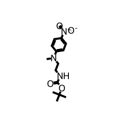 CN(CCNC(=O)OC(C)(C)C)c1ccc([N+](=O)[O-])cc1